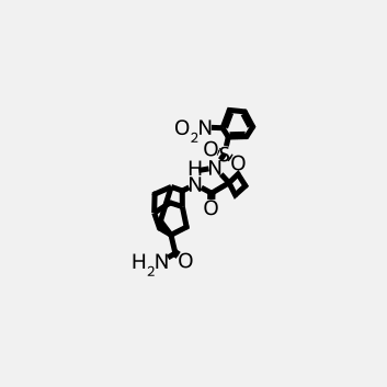 CN(C1(C(=O)NC2C3CC4CC2CC(C(N)=O)(C4)C3)CCC1)S(=O)(=O)c1ccccc1[N+](=O)[O-]